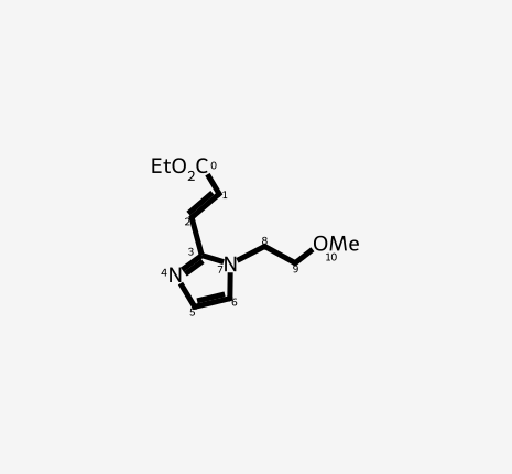 CCOC(=O)/C=C/c1nccn1CCOC